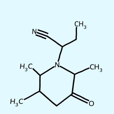 CCC(C#N)N1C(C)C(=O)CC(C)C1C